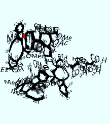 CCC1=C[C@@H]2C[N@](C1)Cc1c([nH]c3ccccc13)[C@@](C(=O)OC)(c1cc3c(cc1OC)N(C)[C@H]1[C@@](O)(C(=O)OC)[C@H](OC(C)=O)[C@]4(CC)C=CCN5CC[C@]31[C@@H]54)C2.CC[C@]1(O)C[C@H]2C[N@](CCc3c([nH]c4ccccc34)[C@@](C(=O)OC)(c3cc4c(cc3OC)N(C=O)[C@H]3[C@@](O)(C(=O)OC)[C@H](OC(C)=O)[C@]5(CC)C=CCN6CC[C@]43[C@@H]65)C2)C1.O=C(O)C(O)C(O)C(=O)O.O=C(O)C(O)C(O)C(=O)O